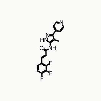 Cc1c(-c2ccncc2)n[nH]c1NC(=O)C=Cc1ccc(F)c(F)c1F